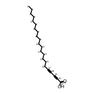 CCCCCCCCCCCCCCCCCC#CC#CC(=O)O